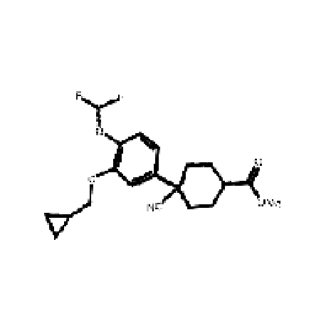 COC(=O)C1CCC(C#N)(c2ccc(OC(F)F)c(OCC3CC3)c2)CC1